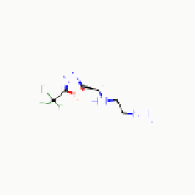 NCCNCc1nnc(C(F)(F)F)o1